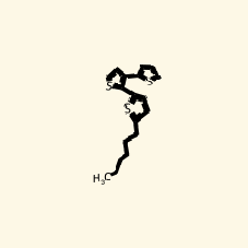 CCCCCCc1ccc(-c2sccc2-c2cccs2)s1